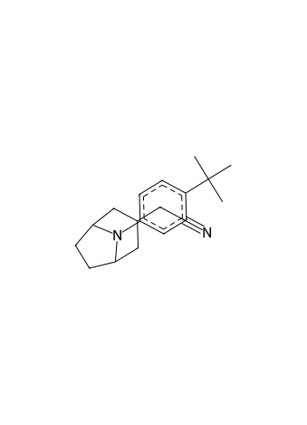 CC(C)(C)c1ccc(N2C3CCC2CC(CC#N)C3)cc1